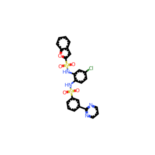 O=S(=O)(Nc1ccc(Cl)cc1NS(=O)(=O)c1cc2ccccc2o1)c1cccc(-c2ncccn2)c1